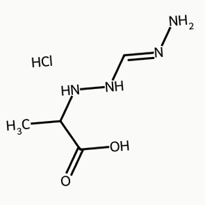 CC(NNC=NN)C(=O)O.Cl